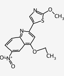 CCOc1cc(-c2cnc(OC)s2)nc2ccc([N+](=O)[O-])cc12